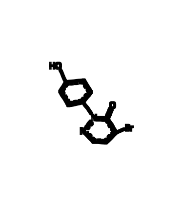 O=c1c(Br)ccnn1-c1ccc(O)cc1